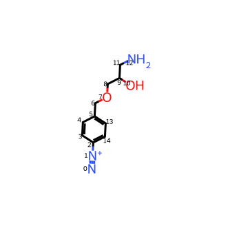 N#[N+]c1ccc(COCC(O)CN)cc1